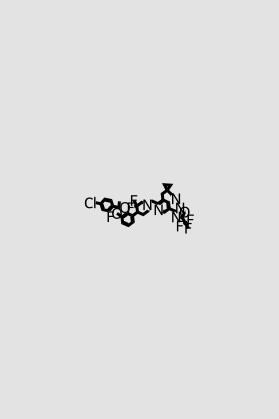 CC1(c2ccc(Cl)cc2F)Oc2cccc(C3CCN(Cc4ncc(-c5noc(C(F)(F)F)n5)cc4CC4(C#N)CC4)CC3(F)F)c2O1